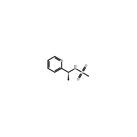 C[C@H](NS(C)(=O)=O)c1ccccn1